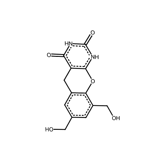 O=c1[nH]c2c(c(=O)[nH]1)Cc1cc(CO)cc(CO)c1O2